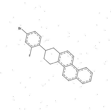 Fc1cc(Br)ccc1C1CCc2c(ccc3c2ccc2ccccc23)C1